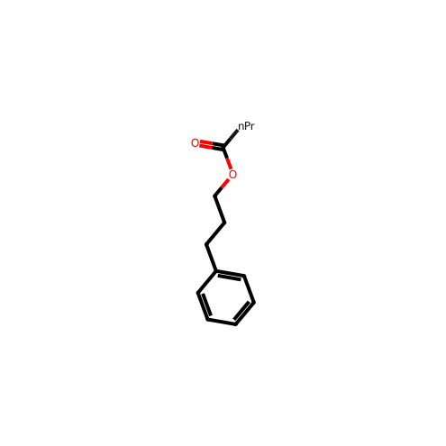 [CH2]CCC(=O)OCCCc1ccccc1